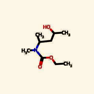 CCOC(=O)N(C)C(C)CC(C)O